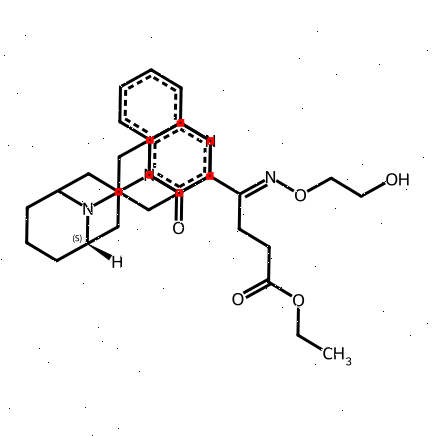 CCOC(=O)CCC(=NOCCO)c1nc2ccccc2n(C2CC3CCC[C@@H](C2)N3C2CC3CCCC(C3)C2)c1=O